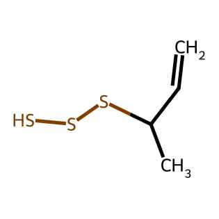 C=CC(C)SSS